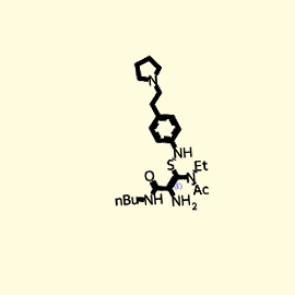 CCCCNC(=O)/C(N)=C(\SNc1ccc(CCN2CCCC2)cc1)N(CC)C(C)=O